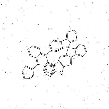 c1ccc(-c2c3ccccc3c(-c3ccc4c(c3)C3(c5ccccc5-4)c4ccccc4-c4cc5oc6ccccc6c5cc43)c3ccccc23)cc1